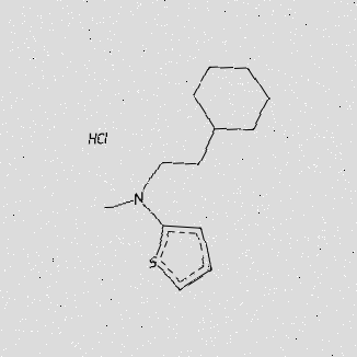 CN(CCC1CCCCC1)c1cccs1.Cl